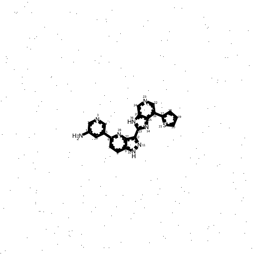 Nc1cncc(-c2ccc3[nH]nc(-c4nc5c(-c6cccs6)cncc5[nH]4)c3n2)c1